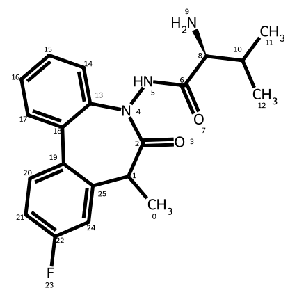 CC1C(=O)N(NC(=O)[C@@H](N)C(C)C)c2ccccc2-c2ccc(F)cc21